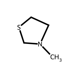 CN1CCSC1